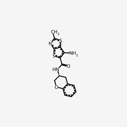 Cc1nc2sc(C(=O)N[C@@H]3COc4ccccc4C3)c(N)c2s1